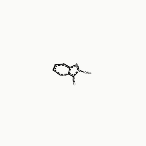 COn1sc2ccccc2c1=O